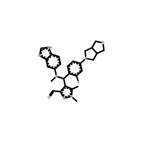 Cc1c(C(c2ccc(N3CC4COCC4C3)cc2F)N(C)c2ccc3[nH]cnc3c2)c(C=O)nn1C